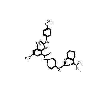 Cc1cc(C)c(NC(=O)Nc2ccc(OC(F)(F)F)cc2)c(C(=O)NC2CCC(Nc3nc4c(c(N(C)C)n3)CCCC4)CC2)c1